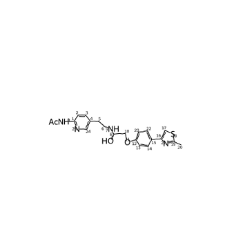 CC(=O)Nc1ccc(CCN[C@H](O)COc2ccc(-c3csc(C)n3)cc2)cn1